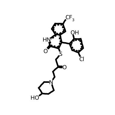 O=C(CCN1CCC(O)CC1)CSc1c(-c2cc(Cl)ccc2O)c2cc(C(F)(F)F)ccc2[nH]c1=O